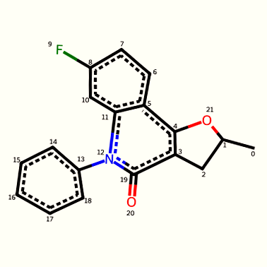 CC1Cc2c(c3ccc(F)cc3n(-c3ccccc3)c2=O)O1